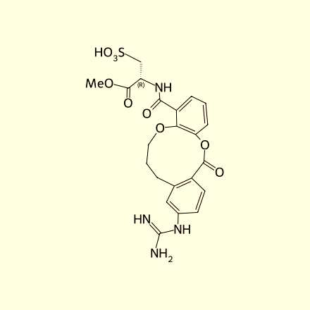 COC(=O)[C@H](CS(=O)(=O)O)NC(=O)c1cccc2c1OCCCc1cc(NC(=N)N)ccc1C(=O)O2